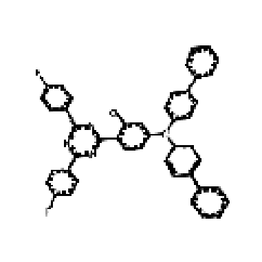 Fc1ccc(-c2nc(-c3ccc(F)cc3)nc(-c3ccc(N(c4ccc(-c5ccccc5)cc4)C4C=CC(c5ccccc5)=CC4)cc3Cl)n2)cc1